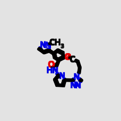 Cn1nccc1-c1ccc2c(c1)C(=O)Nc1cccc(n1)-c1nncn1CCCCO2